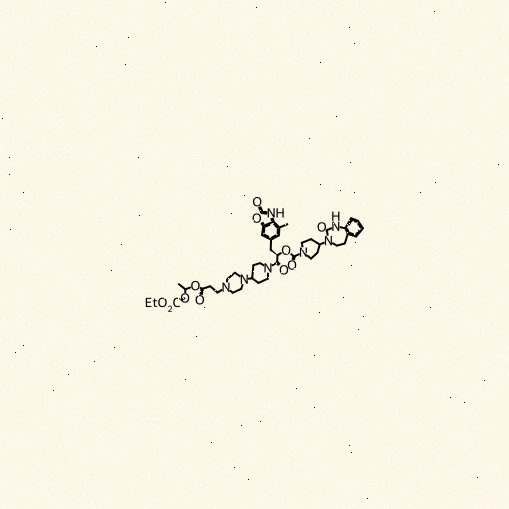 CCOC(=O)OC(C)OC(=O)CCN1CCN(C2CCN(C(=O)[C@@H](Cc3cc(C)c4[nH]c(=O)oc4c3)OC(=O)N3CCC(N4CCc5ccccc5NC4=O)CC3)CC2)CC1